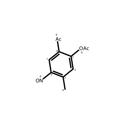 CC(=O)Oc1cc(C)c(N=O)cc1C(C)=O